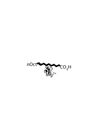 CCCCCCCCC=CCCCCCCCC(=O)O.O=S(=O)([O-])[O-].[Mg+2]